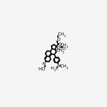 CCOCC(=O)[C@@]1(OC(C)=O)CCC2C3CCC4=C/C(=N/CO)CCC4=C3C(c3ccc(N(C)C)cc3)C[C@@]21C